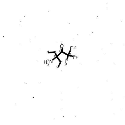 CCC(N)(CC)C(=O)C(F)(F)F